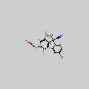 CC(C#N)(c1ccc(Cl)cc1)c1cc(Cl)c(N=C=O)cc1Cl